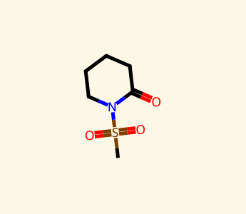 CS(=O)(=O)N1CCCCC1=O